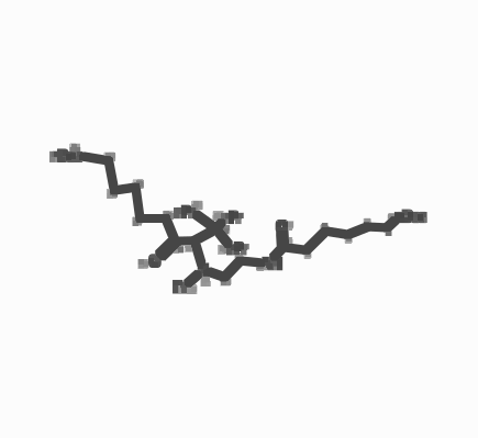 CCCCCCCCCCCCCCCC(=O)NCCN(CC)C(C(=O)CCCCCCCCCCCCCCC)C(CCC)(CCC)CCC